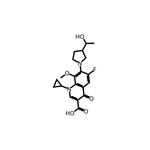 COc1c(N2CCC(C(C)O)C2)c(F)cc2c(=O)c(C(=O)O)cn(C3CC3)c12